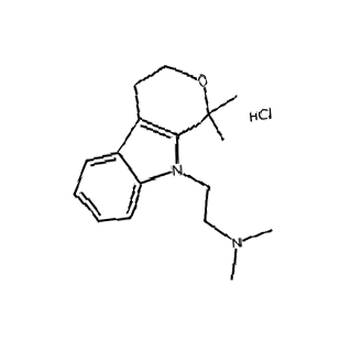 CN(C)CCn1c2c(c3ccccc31)CCOC2(C)C.Cl